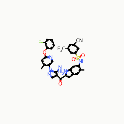 Cc1cc2cc(C(=O)c3cnn(-c4cnc(Oc5ccccc5F)cc4C)c3N)[nH]c2cc1NS(=O)(=O)c1cc(C#N)cc(C(F)(F)F)c1